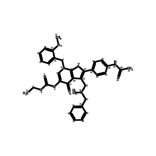 CCOC(=O)Oc1cn(Cc2ccccc2OC)c2sc(-c3ccc(NC(C)=O)cc3)c(CN(C)Cc3ccccc3)c2c1=O